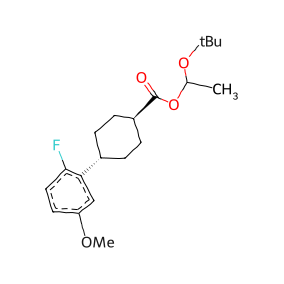 COc1ccc(F)c([C@H]2CC[C@H](C(=O)OC(C)OC(C)(C)C)CC2)c1